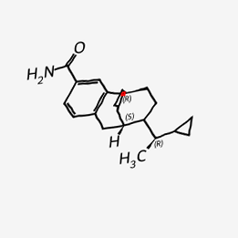 C[C@H](C1CC1)C1CC[C@]23CCCCC2[C@H]1Cc1ccc(C(N)=O)cc13